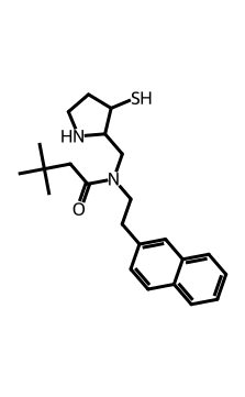 CC(C)(C)CC(=O)N(CCc1ccc2ccccc2c1)CC1NCCC1S